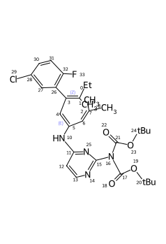 CC/C(C)=C(/C=C(\C=C(C)C)Nc1ccnc(N(C(=O)OC(C)(C)C)C(=O)OC(C)(C)C)n1)c1cc(Cl)ccc1F